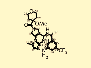 COC1(C(=O)N2CC3=C(C2)n2c(C)cnc2NC3N[C@H](C)c2cc(N)cc(C(F)(F)F)c2)CCOCC1